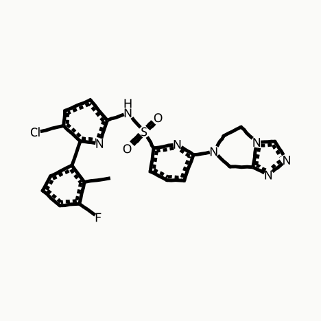 Cc1c(F)cccc1-c1nc(NS(=O)(=O)c2cccc(N3CCn4cnnc4C3)n2)ccc1Cl